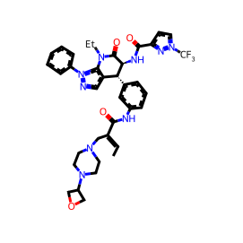 C/C=C(\CN1CCN(C2COC2)CC1)C(=O)Nc1cccc([C@@H]2c3cnn(-c4ccccc4)c3N(CC)C(=O)[C@H]2NC(=O)c2ccn(C(F)(F)F)n2)c1